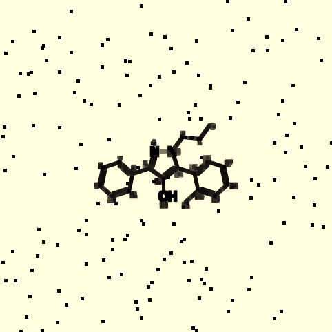 CCCn1nc(-c2ccccc2)c(O)c1-c1ccccc1C